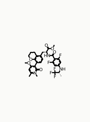 COC(=O)[C@H](Cc1ccc(-c2c(OC)cc(C)n(C)c2=O)c2c1CCCO2)NC(=O)c1c(F)cc(N[C@H](C)C(F)(F)F)cc1F